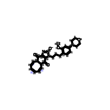 CCOc1cc(N2CCOCC2)ccc1CCCn1c2c(n[n+]1[O-])C(=O)C1\C=C/C=C\C=C/C1C2=O